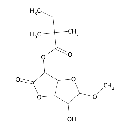 CCC(C)(C)C(=O)OC1C(=O)OC2C(O)C(OC)OC12